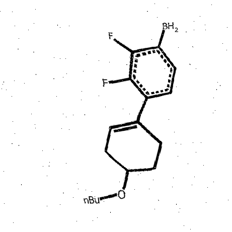 Bc1ccc(C2=CCC(OCCCC)CC2)c(F)c1F